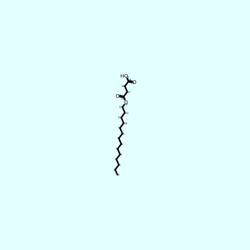 CCCCCCCCCCCCCCOC(=O)CCC(=O)O